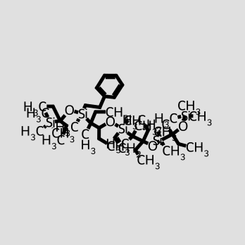 C=C[Si](C)(OC(CC)C(C)(CC)[Si](C)(CCc1ccccc1)OC(CC)(CC)[Si](C)(C)C)C(C)(C)C(CC)(CC)O[Si](C)(C)C(C)(CC)O[Si](C)(C)C